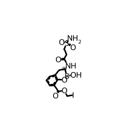 NS(=O)(=O)CCC(=O)N[C@H]1Cc2cccc(C(=O)OCI)c2OB1O